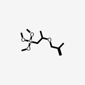 C=C(C)COC(C)C[Si](OC)(OC)OC